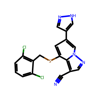 N#Cc1cnn2cc(-c3cn[nH]c3)cc(SCc3c(Cl)cccc3Cl)c12